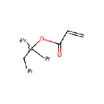 C=CC(=O)O[Si](CC(C)C)(C(C)C)C(C)C